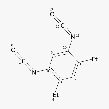 CCc1cc(CC)c(N=C=O)cc1N=C=O